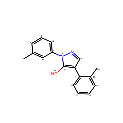 Cc1cccc(-n2ncc(-c3ccccc3C)c2O)c1